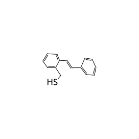 SCc1ccccc1/C=C/c1ccccc1